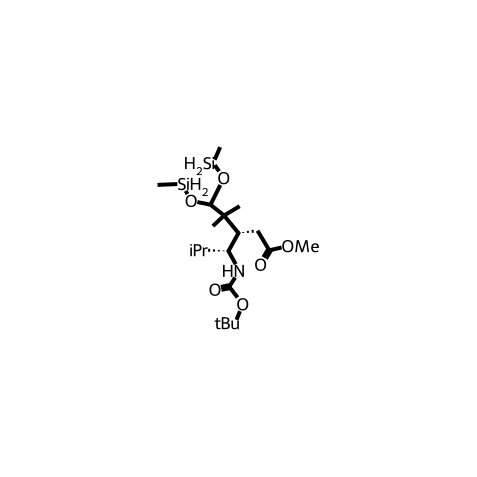 COC(=O)C[C@H]([C@H](NC(=O)OC(C)(C)C)C(C)C)C(C)(C)C(O[SiH2]C)O[SiH2]C